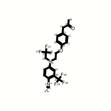 [C-]#[N+]c1ccc(N(CCOc2ccc(CC(C)=O)cc2)CC(F)(F)F)cc1C(F)(F)F